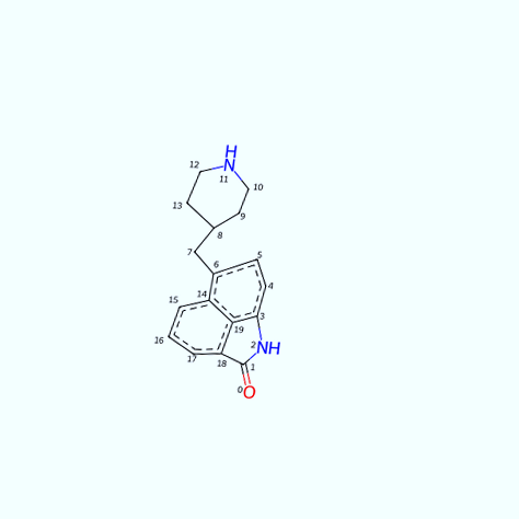 O=C1Nc2ccc(CC3CCNCC3)c3cccc1c23